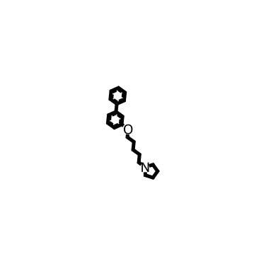 c1ccc(-c2cccc(OCCCCCN3CCCC3)c2)cc1